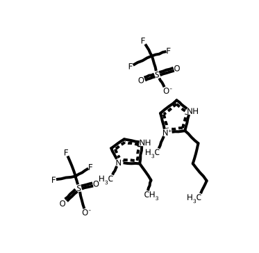 CCCCc1[nH]cc[n+]1C.CCc1[nH]cc[n+]1C.O=S(=O)([O-])C(F)(F)F.O=S(=O)([O-])C(F)(F)F